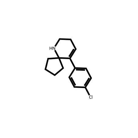 Clc1ccc(C2=CCCNC23CCCC3)cc1